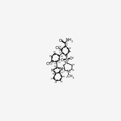 CN1CCN(S(=O)(=O)c2ccc(C(N)=O)c(Cl)c2-c2ccc(Cl)c(-c3nc4ccccc4[nH]3)c2)CC1